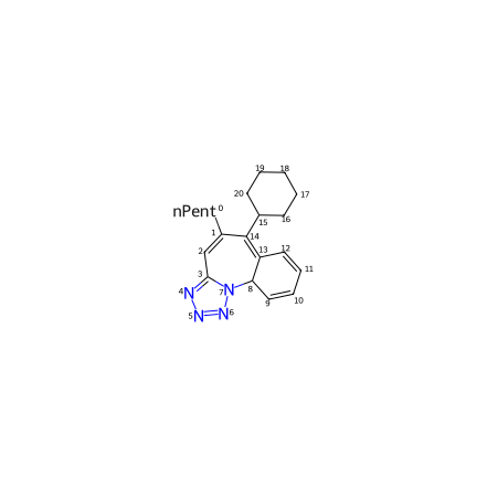 CCCCCC1=Cc2nnnn2C2C=CC=CC2=C1C1CCCCC1